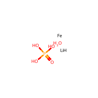 O.O=P(O)(O)O.[Fe].[LiH]